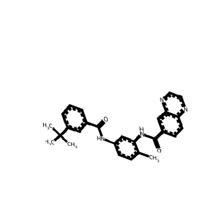 Cc1ccc(NC(=O)c2cccc(C(C)(C)C)c2)cc1NC(=O)c1ccc2nccnc2c1